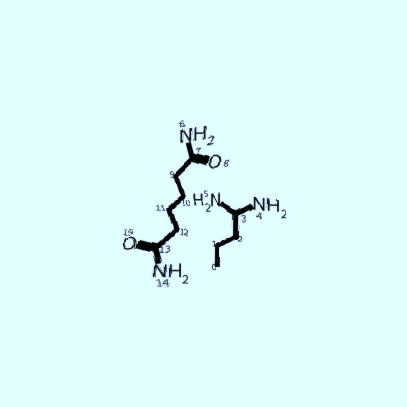 CCCC(N)N.NC(=O)CCCCC(N)=O